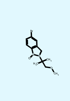 COCC(C)(C)N1Cc2cc(Br)ccc2[S+]1[O-]